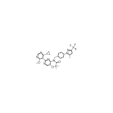 COc1ncnc(C2CC2)c1-c1ncc2c(n1)N(Cc1ccc(-n3nc(C(F)(F)F)cc3C)cc1)C(=O)C(C)(C)O2